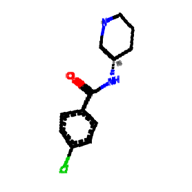 O=C(N[C@H]1CCC[N]C1)c1ccc(Cl)cc1